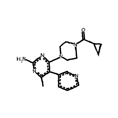 Cc1nc(N)nc(N2CCN(C(=O)C3CC3)CC2)c1-c1cccnc1